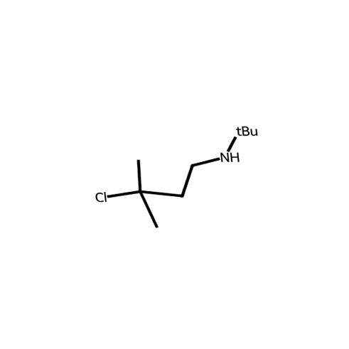 CC(C)(Cl)CCNC(C)(C)C